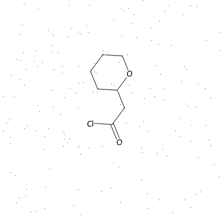 O=C(Cl)CC1CCCCO1